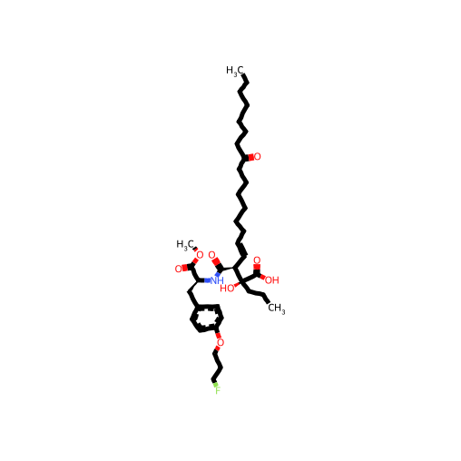 CCCCCCCC(=O)CCCCCC/C=C/[C@H](C(=O)N[C@@H](Cc1ccc(OCCCF)cc1)C(=O)OC)[C@@](O)(CCC)C(=O)O